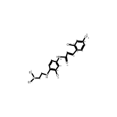 CCN(CC)CCNc1ccc(NC(=O)C=Cc2ccc(C(F)(F)F)cc2Cl)cc1Cl